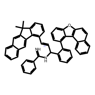 CC1(C)c2cc3ccccc3cc2-c2c(/C=C/C(NC(=N)c3ccccc3)c3ccccc3-c3cccc4oc5ccc6ccccc6c5c34)cccc21